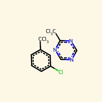 ClC(Cl)(Cl)c1ncncn1.Clc1cccc(C(Cl)(Cl)Cl)c1